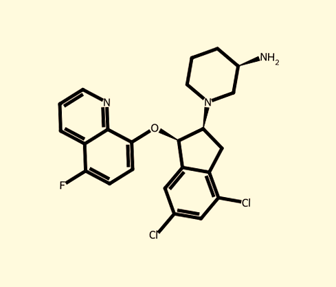 N[C@@H]1CCCN([C@H]2Cc3c(Cl)cc(Cl)cc3[C@H]2Oc2ccc(F)c3cccnc23)C1